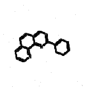 C1=CCCC(c2ccc3ccc4cccnc4c3n2)=C1